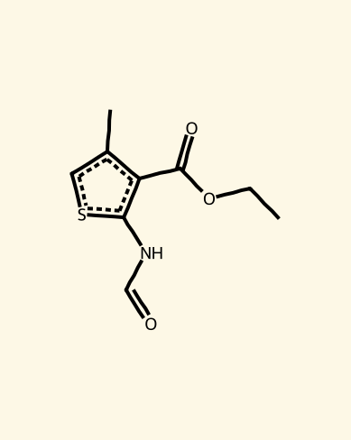 CCOC(=O)c1c(C)csc1NC=O